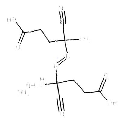 CC(C#N)(CCC(=O)O)/N=N/C(C)(C#N)CCC(=O)O.N.N